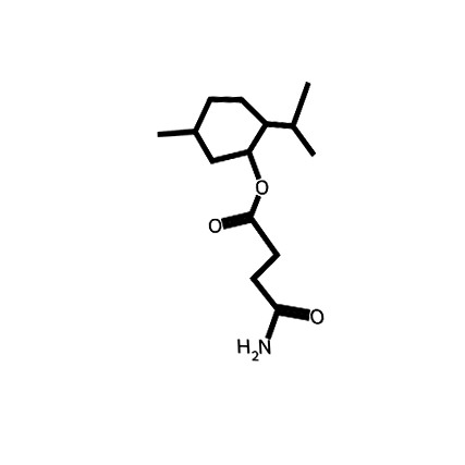 CC1CCC(C(C)C)C(OC(=O)CCC(N)=O)C1